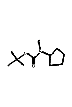 CN(C(=O)OC(C)(C)C)C1CCCC1